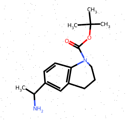 CC(N)c1ccc2c(c1)CCCN2C(=O)OC(C)(C)C